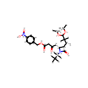 C[SiH2]OC(O[SiH2]C)C(C)(C)[C@H](C)[C@@H]1C(=O)N([Si](C)(C)C(C)(C)C)[C@@H]1CC(=O)CC(=O)OCc1ccc([N+](=O)[O-])cc1